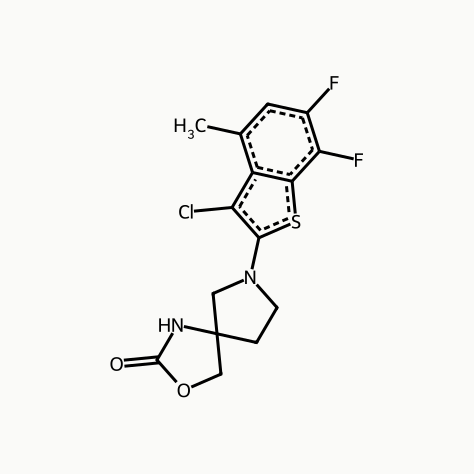 Cc1cc(F)c(F)c2sc(N3CCC4(COC(=O)N4)C3)c(Cl)c12